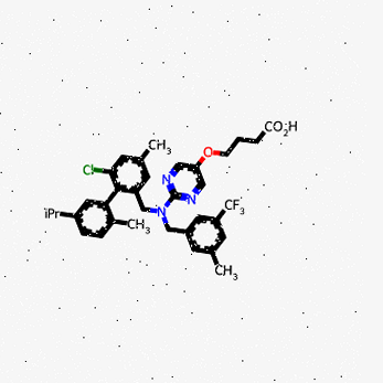 Cc1cc(CN(Cc2cc(C)cc(Cl)c2-c2cc(C(C)C)ccc2C)c2ncc(OCCCC(=O)O)cn2)cc(C(F)(F)F)c1